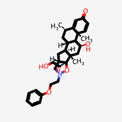 C[C@H]1C[C@@H]2C([C@@H](O)C[C@@]3(C)[C@H]2C[C@H]2CN(CCOc4ccccc4)O[C@]23C(=O)CO)[C@@]2(C)C=CC(=O)C=C12